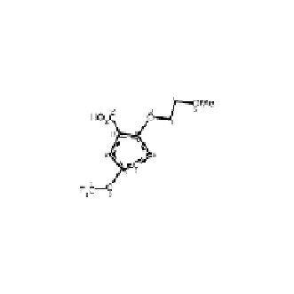 COCCOc1ccc(OC(F)(F)F)cc1C(=O)O